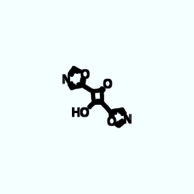 O=C1C(c2cnco2)=C(O)C1c1cnco1